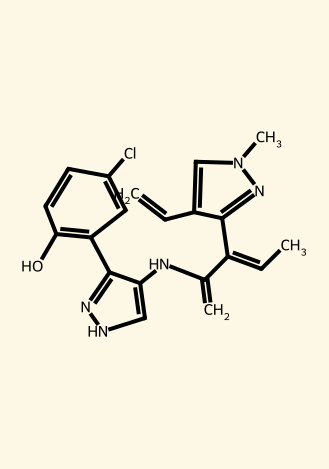 C=Cc1cn(C)nc1/C(=C\C)C(=C)Nc1c[nH]nc1-c1cc(Cl)ccc1O